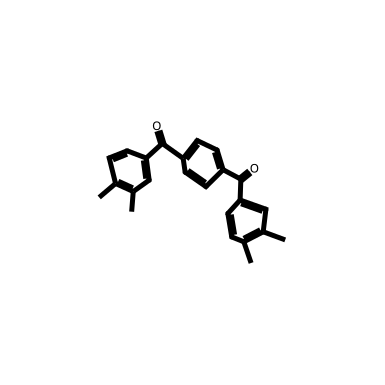 Cc1ccc(C(=O)c2ccc(C(=O)c3ccc(C)c(C)c3)cc2)cc1C